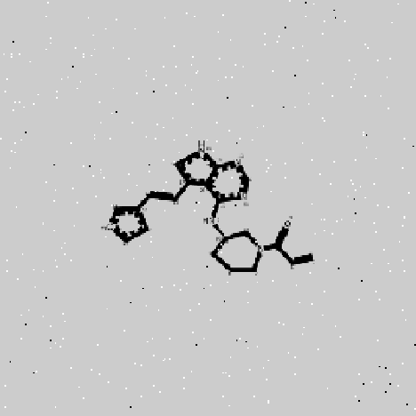 C=CC(=O)N1CCC[C@@H](Nc2ncnc3[nH]cc(C=Cc4ccoc4)c23)C1